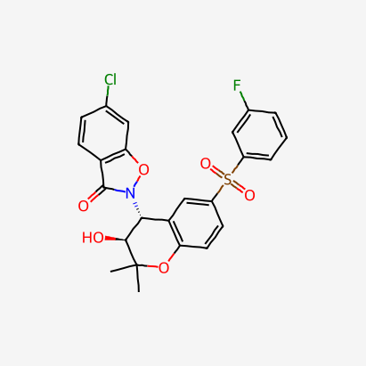 CC1(C)Oc2ccc(S(=O)(=O)c3cccc(F)c3)cc2[C@@H](n2oc3cc(Cl)ccc3c2=O)[C@@H]1O